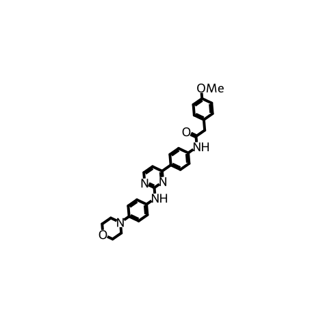 COc1ccc(CC(=O)Nc2ccc(-c3ccnc(Nc4ccc(N5CCOCC5)cc4)n3)cc2)cc1